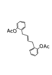 CC(=O)Oc1ccccc1C/C=C/Cc1ccccc1OC(C)=O